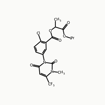 CC(C)OC(=O)C(C)OC(=O)c1cc(-n2c(=O)cc(C(F)(F)F)n(C)c2=O)ccc1Cl